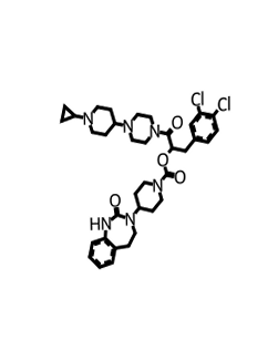 O=C(OC(Cc1ccc(Cl)c(Cl)c1)C(=O)N1CCN(C2CCN(C3CC3)CC2)CC1)N1CCC(N2CCc3ccccc3NC2=O)CC1